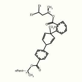 CCCCC[C@@H](C)OC(=O)c1ccc(C2C=CC(C(=O)O)(c3ccccc3C(=O)O[C@H](C)CC(CC)CC)C=C2)cc1